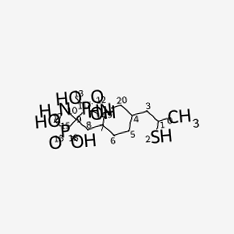 CC(S)CC1CCC(CC(N)(P(=O)(O)O)P(=O)(O)O)NC1